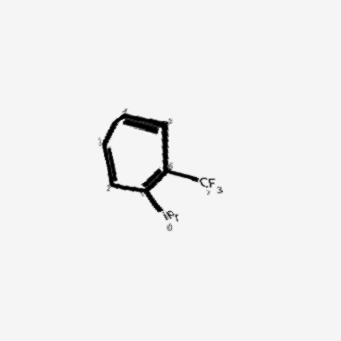 CC(C)c1[c]cccc1C(F)(F)F